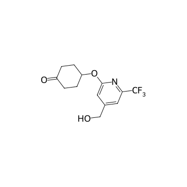 O=C1CCC(Oc2cc(CO)cc(C(F)(F)F)n2)CC1